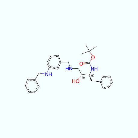 CC(C)(C)OC(=O)N[C@@H](Cc1ccccc1)[C@H](O)CNCc1cccc(NCc2ccccc2)c1